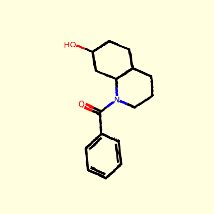 O=C(c1ccccc1)N1CCCC2CCC(O)CC21